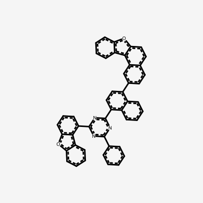 c1ccc(-c2nc(-c3ccc(-c4ccc5ccc6oc7ccccc7c6c5c4)c4ccccc34)nc(-c3cccc4oc5ccccc5c34)n2)cc1